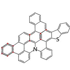 c1ccc(-c2ccccc2-c2c(-c3ccccc3)cccc2N(c2ccc3c(ccc4ccccc43)c2)c2ccccc2-c2cccc3c2sc2ccccc23)cc1